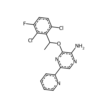 CC(Oc1nc(-c2ccccn2)cnc1N)c1c(Cl)ccc(F)c1Cl